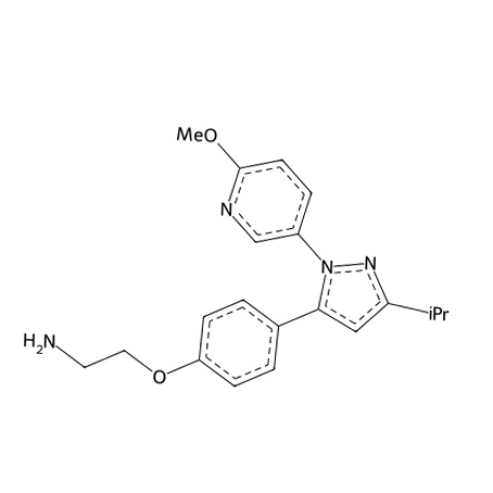 COc1ccc(-n2nc(C(C)C)cc2-c2ccc(OCCN)cc2)cn1